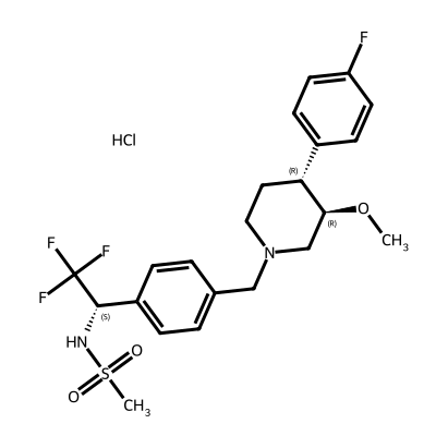 CO[C@H]1CN(Cc2ccc([C@H](NS(C)(=O)=O)C(F)(F)F)cc2)CC[C@@H]1c1ccc(F)cc1.Cl